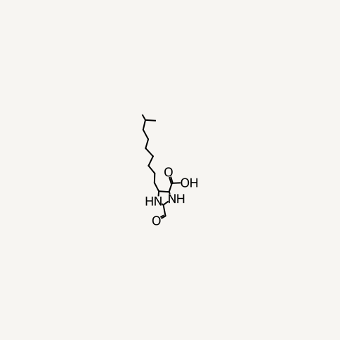 CC(C)CCCCCCCC1NC(C=O)NC1C(=O)O